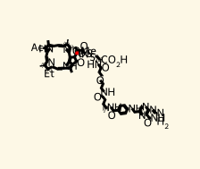 CC[C@H]1c2cc3[nH]c4c(c3C)C(=O)C(C(=O)OC)c4c3nc(cc4[nH]c(cc(n2)[C@@H]1C)c(C(C)=O)c4C)[C@@H](C)[C@@H]3CCC(=O)NSSC[C@@H](NC(=O)CCOCCNC(=O)CC[C@@H](C)NC(=O)c1ccc(NCc2cnc3nc(N)[nH]c(=O)c3n2)cc1)C(=O)O